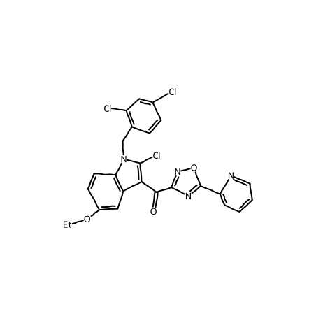 CCOc1ccc2c(c1)c(C(=O)c1noc(-c3ccccn3)n1)c(Cl)n2Cc1ccc(Cl)cc1Cl